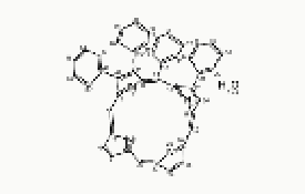 C1=CC2=NC1=CC1=NC(=C(c3ccccc3)C3=NC(=CC4=NC(=C2)C=C4)C=C3c2ccccc2)C(c2ccccc2)=C1c1ccccc1.O